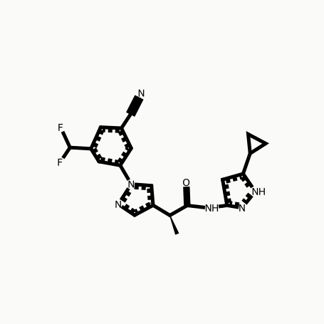 C[C@H](C(=O)Nc1cc(C2CC2)[nH]n1)c1cnn(-c2cc(C#N)cc(C(F)F)c2)c1